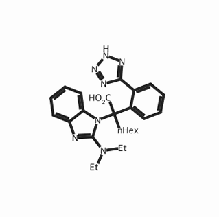 CCCCCCC(C(=O)O)(c1ccccc1-c1nn[nH]n1)n1c(N(CC)CC)nc2ccccc21